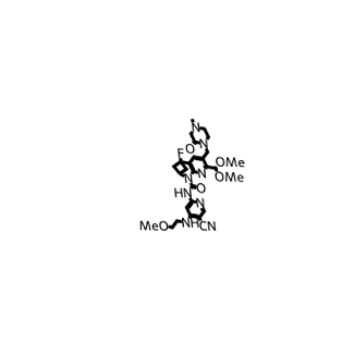 COCCNc1cc(NC(=O)N2c3nc(C(OC)OC)c(CN4CCN(C)CC4=O)cc3C3(F)CC2C3)ncc1C#N